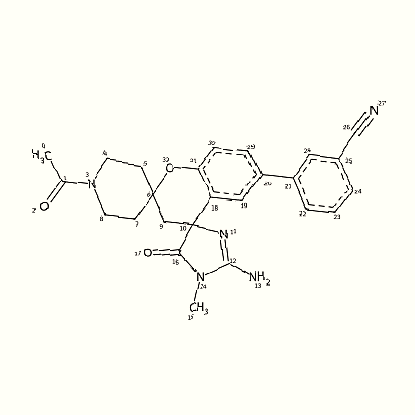 CC(=O)N1CCC2(CC1)CC1(N=C(N)N(C)C1=O)c1cc(-c3cccc(C#N)c3)ccc1O2